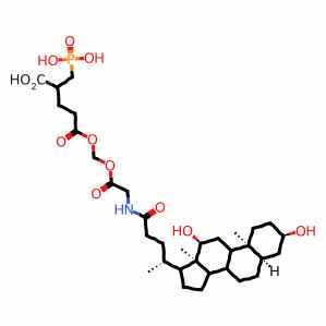 C[C@H](CCC(=O)NCC(=O)OCOC(=O)CCC(CP(=O)(O)O)C(=O)O)C1CCC2C3CC[C@@H]4C[C@H](O)CC[C@]4(C)C3C[C@H](O)[C@@]21C